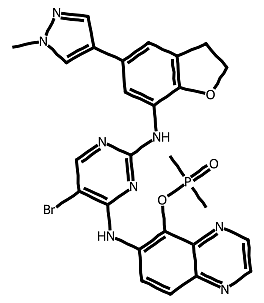 Cn1cc(-c2cc3c(c(Nc4ncc(Br)c(Nc5ccc6nccnc6c5OP(C)(C)=O)n4)c2)OCC3)cn1